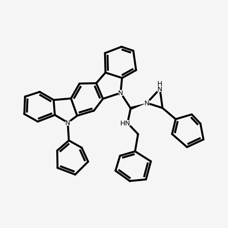 c1ccc(CNC(n2c3ccccc3c3cc4c5ccccc5n(-c5ccccc5)c4cc32)[N@@]2NC2c2ccccc2)cc1